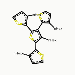 CCCCCCc1ccsc1-c1sc(-c2sccc2CCCCCC)c(-c2sccc2CCCCCC)c1CCCCCC